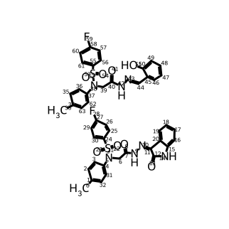 Cc1ccc(N(CC(=O)NN=C2C(=O)Nc3ccccc32)S(=O)(=O)c2ccc(F)cc2)cc1.Cc1ccc(N(CC(=O)NN=Cc2ccccc2O)S(=O)(=O)c2ccc(F)cc2)cc1